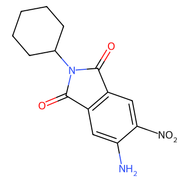 Nc1cc2c(cc1[N+](=O)[O-])C(=O)N(C1CCCCC1)C2=O